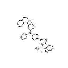 CC1(C)c2ccccc2-c2ccc(-c3ccc(N(c4ccccc4)c4ccc5oc6ccc7ccccc7c6c5c4)cc3)cc21